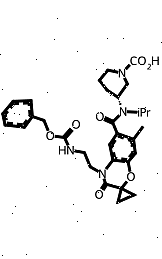 Cc1cc2c(cc1C(=O)N(C(C)C)[C@@H]1CCCN(C(=O)O)C1)N(CCNC(=O)OCc1ccccc1)C(=O)C1(CC1)O2